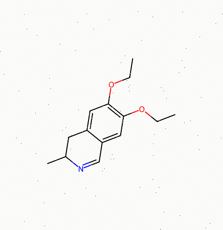 CCOc1cc2c(cc1OCC)CC(C)N=C2